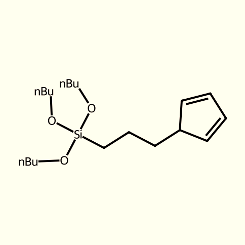 CCCCO[Si](CCCC1C=CC=C1)(OCCCC)OCCCC